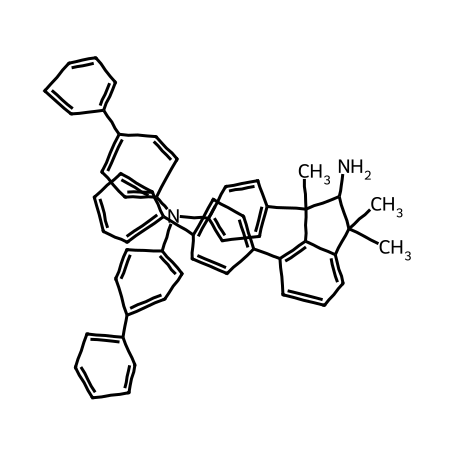 CC1(C)c2cccc(-c3ccc(-c4ccccc4)cc3)c2C(C)(c2ccc(N(c3ccc(-c4ccccc4)cc3)c3ccc(-c4ccccc4)cc3)cc2)C1N